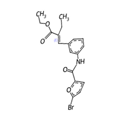 CCOC(=O)/C(=C/c1cccc(NC(=O)c2ccc(Br)o2)c1)CC